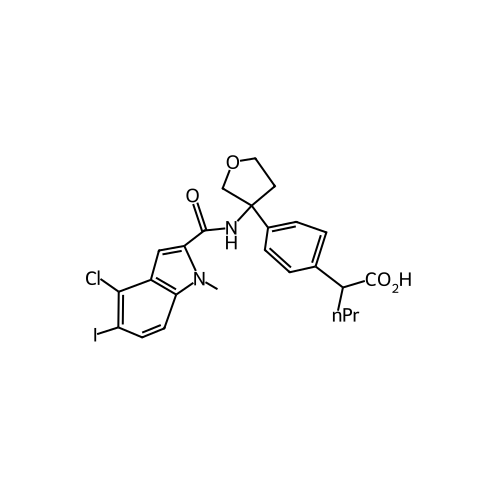 CCCC(C(=O)O)c1ccc(C2(NC(=O)c3cc4c(Cl)c(I)ccc4n3C)CCOC2)cc1